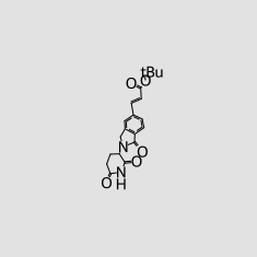 CC(C)(C)OC(=O)/C=C/c1ccc2c(c1)CN(C1CCC(=O)NC1=O)C2=O